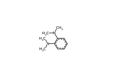 CN(C)c1ccccc1N(C)C